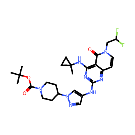 CC1(Nc2nc(Nc3cnn(C4CCN(C(=O)OC(C)(C)C)CC4)c3)nc3ccn(CC(F)F)c(=O)c23)CC1